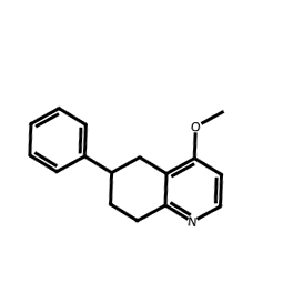 COc1ccnc2c1CC(c1ccccc1)CC2